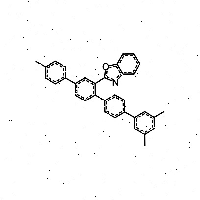 Cc1ccc(-c2ccc(-c3ccc(-c4cc(C)cc(C)c4)cc3)c(-c3nc4ccccc4o3)c2)cc1